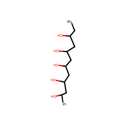 CC(C)C(O)CC(O)CC(O)CC(O)CC(O)CC(C)(C)C